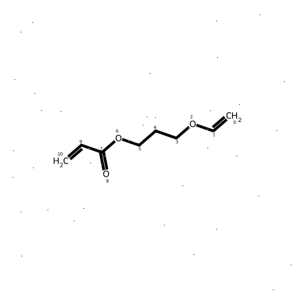 C=COCCCOC(=O)C=C